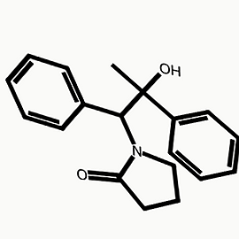 CC(O)(c1ccccc1)C(c1ccccc1)N1CCCC1=O